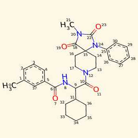 Cc1cccc(C(=O)NC(C(=O)N2CCC3(CC2)C(=O)N(C)C(=O)N3c2ccccc2)C2CCCCC2)c1